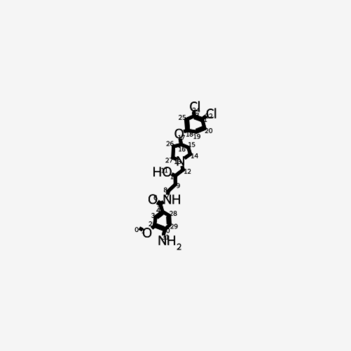 COc1cc(C(=O)NCCC(O)CN2CCC(Oc3ccc(Cl)c(Cl)c3)CC2)ccc1N